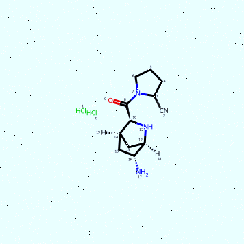 Cl.Cl.N#CC1CCCN1C(=O)[C@H]1N[C@@H]2C[C@H]1C[C@H]2N